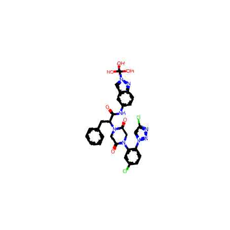 O=C(Nc1ccc2nn(C(O)(O)O)cc2c1)C(Cc1ccccc1)N1CC(=O)N(c2cc(Cl)ccc2-n2cc(Cl)nn2)CC1=O